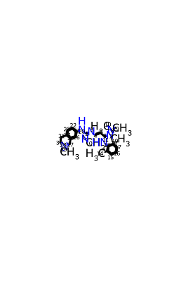 C=N\C(=N/C=C/C(=N\N(C)C)Nc1c(C)cccc1C)Nc1ccc2c(c1)CN(C)CC2